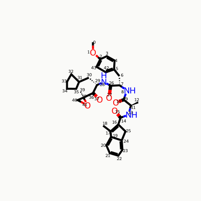 COc1ccc(C[C@H](NC(=O)[C@@H](C)NC(=O)C2=C(C)c3ccccc3C2)C(=O)N[C@@H](CC2CCCC2)C(=O)[C@]2(C)CO2)cc1